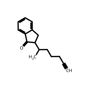 C#CCCCC(C)C1Cc2ccccc2C1=O